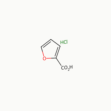 Cl.O=C(O)c1ccco1